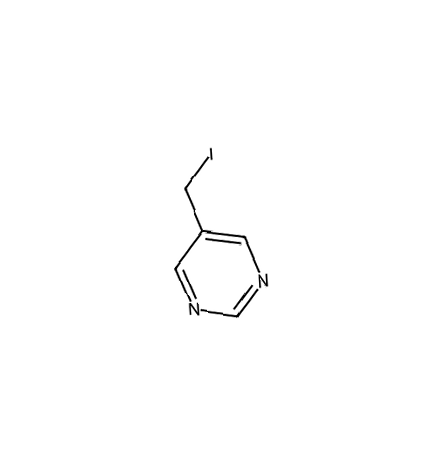 ICc1cncnc1